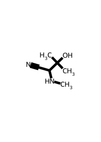 CNC(C#N)C(C)(C)O